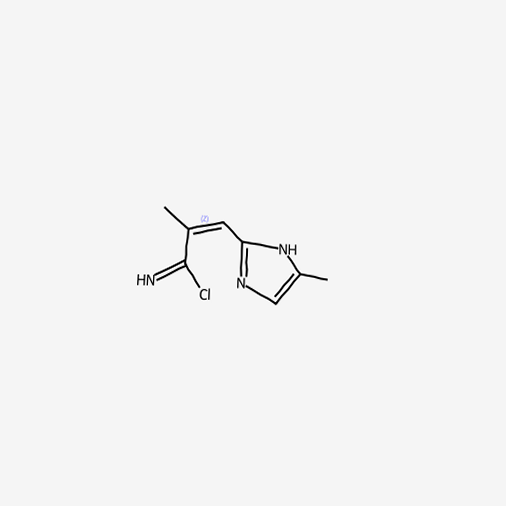 C/C(=C/c1ncc(C)[nH]1)C(=N)Cl